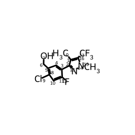 Cc1c(-c2cc(CO)c(Cl)cc2F)nn(C)c1C(F)(F)F